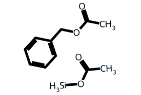 CC(=O)OCc1ccccc1.CC(=O)O[SiH3]